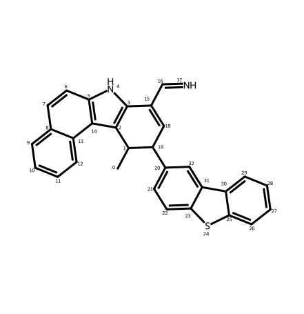 CC1c2c([nH]c3ccc4ccccc4c23)C(C=N)=CC1c1ccc2sc3ccccc3c2c1